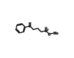 CC(C)(C)O[SiH2]CCCNc1ccccc1